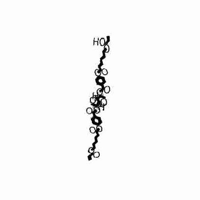 C=CC(=O)OCCCCCC(=O)Oc1ccc(C(=O)O[C@@H]2CO[C@H]3[C@@H]2OC[C@@H]3OC(=O)c2ccc(OC(=O)CCCCCOC(O)C=C)cc2)cc1